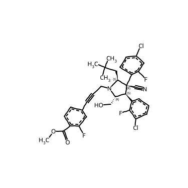 COC(=O)c1ccc(C#CCN2[C@@H](CC(C)(C)C)[C@](C#N)(c3ccc(Cl)cc3F)[C@@H](c3cccc(Cl)c3F)[C@@H]2CO)cc1F